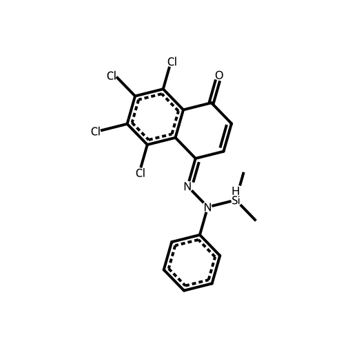 C[SiH](C)N(N=C1C=CC(=O)c2c(Cl)c(Cl)c(Cl)c(Cl)c21)c1ccccc1